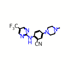 CN1CCN(c2ccc(Nc3ncc(C(F)(F)F)cn3)c(C#N)c2)CC1